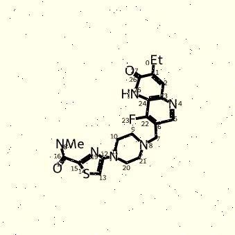 CCc1cc2ncc(CN3CCN(c4csc(C(=O)NC)n4)CC3)c(F)c2[nH]c1=O